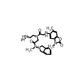 Cc1cc2oc(=O)n(C)c2cc1NCC(=O)N(CCNC(C)C)CC(=O)N(C)N1Cc2ccccc2C1